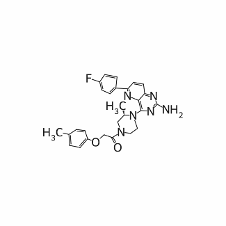 Cc1ccc(OCC(=O)N2CCN(c3nc(N)nc4ccc(-c5ccc(F)cc5)nc34)[C@H](C)C2)cc1